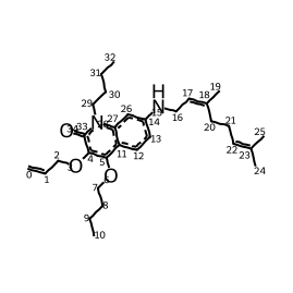 C=CCOc1c(OCCCC)c2ccc(NCC=C(C)CCC=C(C)C)cc2n(CCCC)c1=O